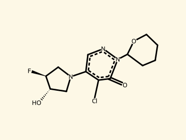 O=c1c(Cl)c(N2C[C@H](O)[C@@H](F)C2)cnn1C1CCCCO1